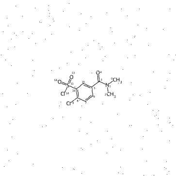 CN(C)C(=O)c1ccc(Cl)c(S(=O)(=O)Cl)c1